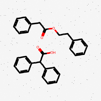 O=C(Cc1ccccc1)OCCc1ccccc1.O=C(O)C(c1ccccc1)c1ccccc1